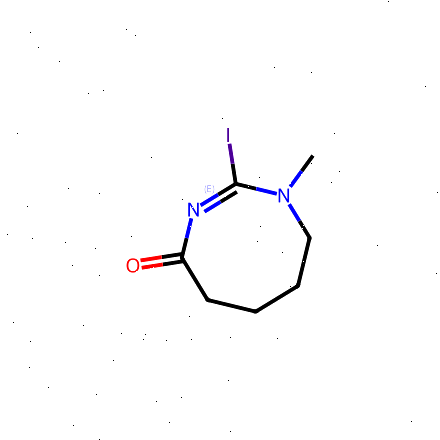 CN1CCCCC(=O)/N=C\1I